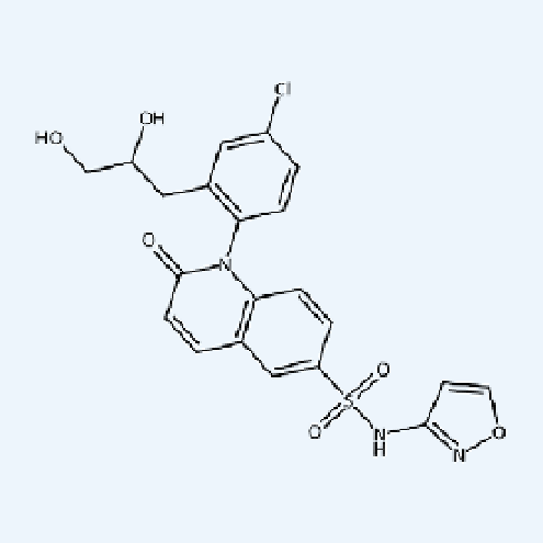 O=c1ccc2cc(S(=O)(=O)Nc3ccon3)ccc2n1-c1ccc(Cl)cc1CC(O)CO